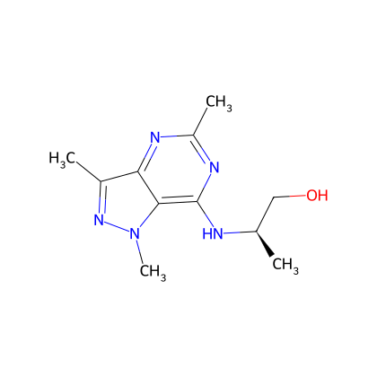 Cc1nc(N[C@H](C)CO)c2c(n1)c(C)nn2C